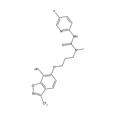 CCCc1c(OCCCN(C)C(=O)Nc2ccc(F)cn2)ccc2c(C(F)(F)F)noc12